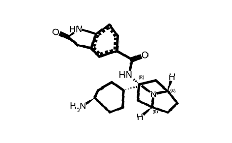 N[C@H]1CC[C@H](CN2[C@@H]3CC[C@H]2C[C@@H](NC(=O)c2ccc4c(c2)CC(=O)N4)C3)CC1